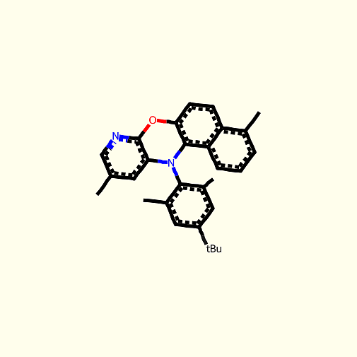 Cc1cnc2c(c1)N(c1c(C)cc(C(C)(C)C)cc1C)c1c(ccc3c(C)cccc13)O2